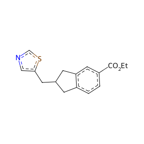 CCOC(=O)c1ccc2c(c1)CC(Cc1cncs1)C2